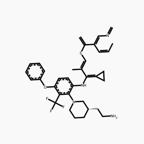 C=N/C=C(\C=C/C)C(=C)S/C=C(\C)C(Nc1ccc(Oc2ccccc2)c(C(F)(F)F)c1N1CCC[C@@H](CCN)C1)=C1CC1